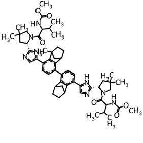 COC(=O)N[C@H](C(=O)N1CC(C)(C)C[C@H]1c1ncc(-c2ccc(-c3ccc(-c4cnc([C@@H]5CC(C)(C)CN5C(=O)[C@@H](NC(=O)OC)C(C)C)[nH]4)c4c3C3CCC4(C)C3)c3c2C2CCC3C2)[nH]1)C(C)C